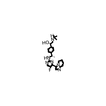 C[C@H](Nc1ncc(F)c(-c2cnc3ccccn23)n1)c1ccc([C@H](O)CNC(C)(C)C)cc1